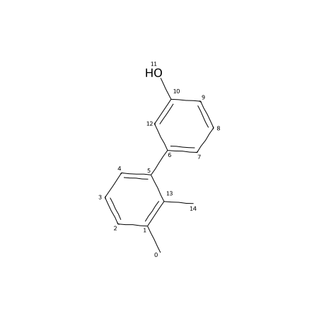 Cc1cccc(-c2cccc(O)c2)c1C